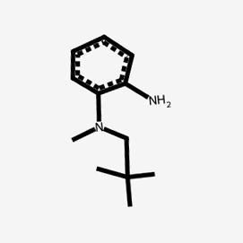 CN(CC(C)(C)C)c1ccccc1N